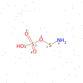 NSOS(=O)(=O)O